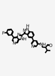 CC(C)C(C=O)CNc1cncc(-c2ccc3[nH]nc(-c4nc5c(-c6cccc(F)c6)cncc5[nH]4)c3c2)c1